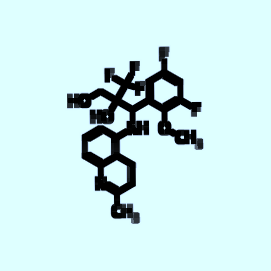 COc1c(F)cc(F)cc1C(Nc1cccc2nc(C)ccc12)C(O)(CO)C(F)(F)F